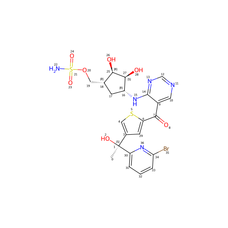 C[C@](O)(c1csc(C(=O)c2cncnc2N[C@@H]2C[C@H](COS(N)(=O)=O)[C@@H](O)[C@H]2O)c1)c1cccc(Br)n1